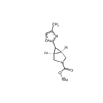 Cc1coc(C2[C@H]3CN(C(=O)OC(C)(C)C)C[C@@H]23)n1